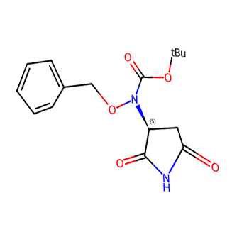 CC(C)(C)OC(=O)N(OCc1ccccc1)[C@H]1CC(=O)NC1=O